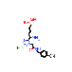 Cl.N#Cc1ccc(CNC(=O)Cn2nnnc2C(N)CCCCB(O)O)cc1